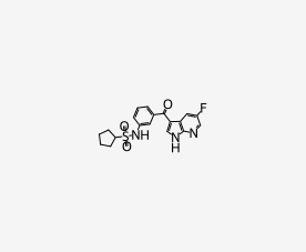 O=C(c1cccc(NS(=O)(=O)C2CCCC2)c1)c1c[nH]c2ncc(F)cc12